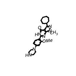 COc1cc(N2CCNCC2)ccc1-c1nc2c(c(C3CCCCCC3)nn2C)c(=O)[nH]1